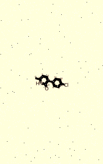 Cc1ccc(-c2ccc(Cl)cc2)c(=O)[nH]1